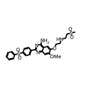 COc1cc2nc(-c3ccc(S(=O)(=O)c4ccccc4)cc3)nc(N)c2cc1OCCNCCS(C)(=O)=O